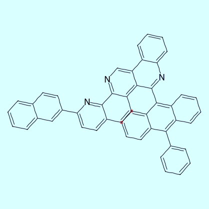 c1ccc(-c2c3ccccc3c(-c3nc4ccccc4c4cnc5c(ccc6ccc(-c7ccc8ccccc8c7)nc65)c34)c3ccccc23)cc1